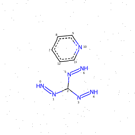 N=NC(N=N)N=N.c1ccncc1